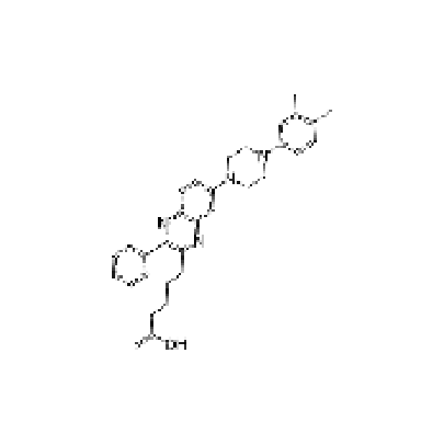 C=C(O)CCCCc1nc2cc(N3CCN(c4ccc(C)c(C)c4)CC3)ccc2nc1-c1ccccc1